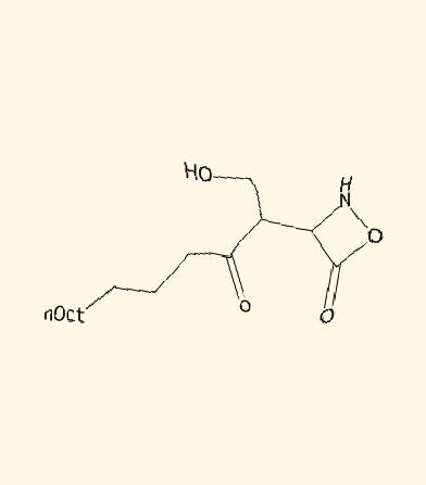 CCCCCCCCCCCC(=O)C(CO)C1NOC1=O